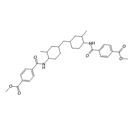 COC(=O)c1ccc(C(=O)NC2CCC(CC3CCC(NC(=O)c4ccc(C(=O)OC)cc4)C(C)C3)CC2C)cc1